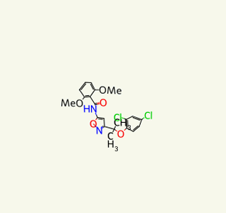 COc1cccc(OC)c1C(=O)Nc1cc(C(C)(C)Oc2ccc(Cl)cc2Cl)no1